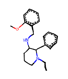 CCN1CCCC(NCc2ccccc2OC)C1c1ccccc1